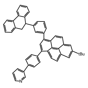 CC(C)(C)c1cc2ccc3c(-c4ccc(-c5cccnc5)cc4)cc(-c4cccc(C5Cc6ccccc6-c6ccccc65)c4)c4ccc(c1)c2c34